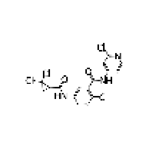 O=C(Nc1ccnc(Cl)c1)c1cc(NC(=O)C2CC2(Cl)Cl)ccc1Cl